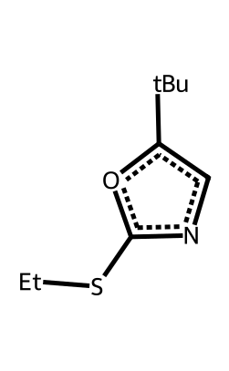 CCSc1ncc(C(C)(C)C)o1